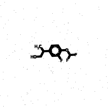 C[C](CO)c1ccc(OC(F)F)c(F)c1